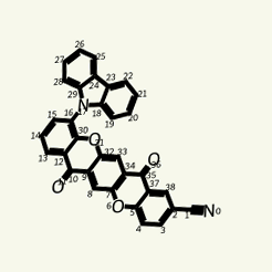 N#Cc1ccc2oc3cc4c(=O)c5cccc(-n6c7ccccc7c7ccccc76)c5oc4cc3c(=O)c2c1